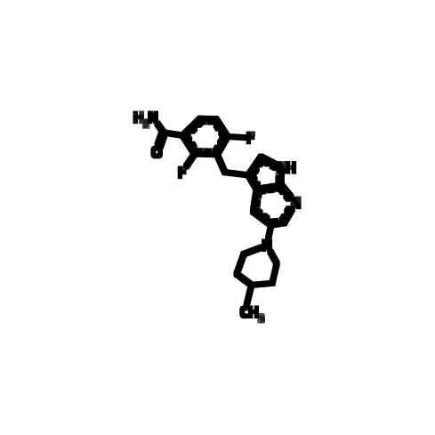 CC1CCN(c2cnc3[nH]cc(Cc4c(F)ccc(C(N)=O)c4F)c3c2)CC1